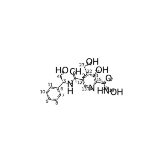 C=C(N[C@H](CO)c1ccccc1)c1cnc(C(=O)NO)c(O)c1CO